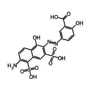 Nc1ccc2c(O)c(N=Nc3ccc(O)c(C(=O)O)c3)c(S(=O)(=O)O)cc2c1S(=O)(=O)O